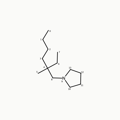 CCCCC(C)(CC)CN1CCCC1